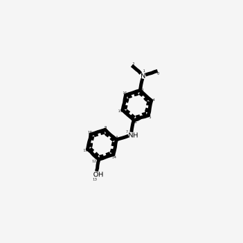 CN(C)c1ccc(Nc2cccc(O)c2)cc1